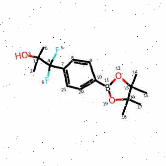 CC(C)(O)C(F)(F)c1ccc(B2OC(C)(C)C(C)(C)O2)cc1